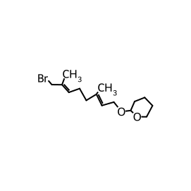 C/C(=C\CC/C(C)=C/COC1CCCCO1)CBr